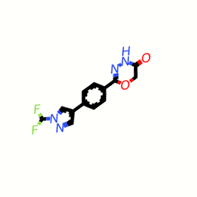 O=C1COC(c2ccc(-c3cnn(C(F)F)c3)cc2)=NN1